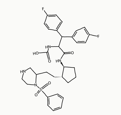 O=C(O)NC(C(=O)N[C@H]1CCC[C@@H]1CCC1CNCCN1S(=O)(=O)c1ccccc1)C(c1ccc(F)cc1)c1ccc(F)cc1